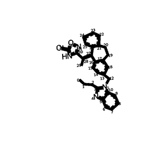 CCCc1nc2ccccc2n1Cc1ccc2c(c1)CCc1ccccc1C2=C(C)c1noc(=O)[nH]1